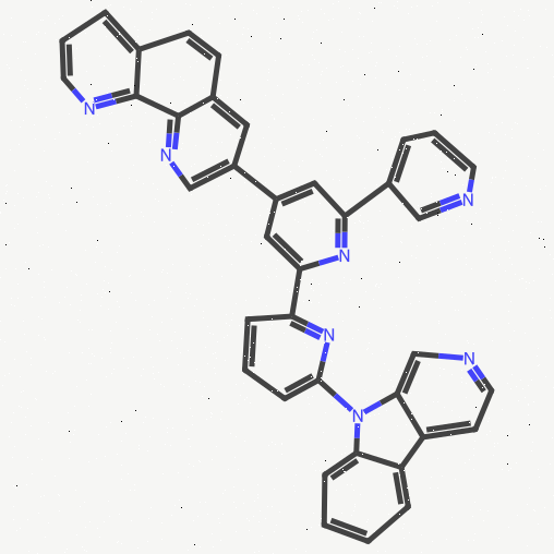 c1cncc(-c2cc(-c3cnc4c(ccc5cccnc54)c3)cc(-c3cccc(-n4c5ccccc5c5ccncc54)n3)n2)c1